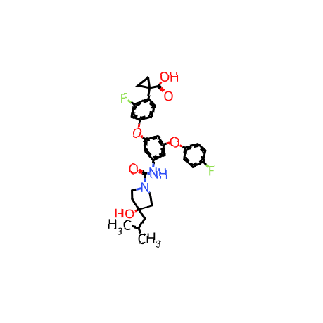 CC(C)CC1(O)CCN(C(=O)Nc2cc(Oc3ccc(F)cc3)cc(Oc3ccc(C4(C(=O)O)CC4)c(F)c3)c2)CC1